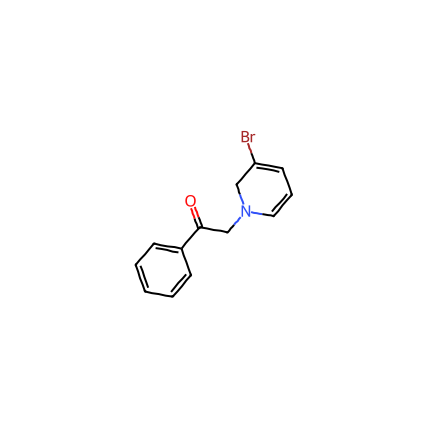 O=C(CN1C=CC=C(Br)C1)c1ccccc1